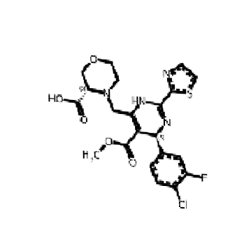 COC(=O)C1=C(CN2CCOC[C@H]2C(=O)O)NC(c2nccs2)=N[C@H]1c1ccc(Cl)c(F)c1